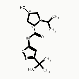 CC(C)N1C[C@@H](O)C[C@H]1C(=O)Nc1cc(C(C)(C)C)no1